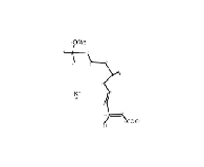 COC(C)(C)CCCC(C)CC=CC(C)=CC(=O)[O-].[K+]